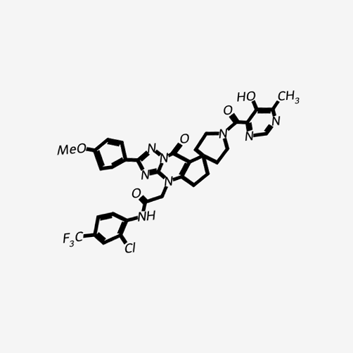 COc1ccc(-c2nc3n(CC(=O)Nc4ccc(C(F)(F)F)cc4Cl)c4c(c(=O)n3n2)C2(CC4)CCN(C(=O)c3ncnc(C)c3O)CC2)cc1